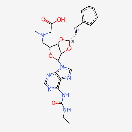 CCNC(=O)Nc1ncnc2c1ncn2C1OC(CN(C)CC(=O)O)C2O[C@H](/C=C/c3ccccc3)OC21